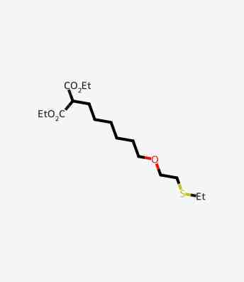 CCOC(=O)C(CCCCCCOCCSCC)C(=O)OCC